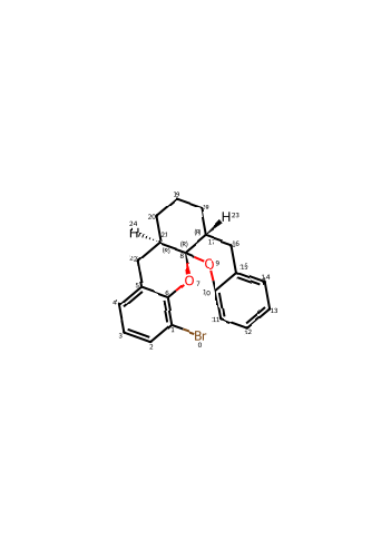 Brc1cccc2c1O[C@]13Oc4ccccc4C[C@H]1CCC[C@@H]3C2